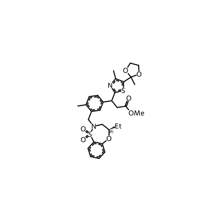 CC[C@@H]1CN(Cc2cc(C(CC(=O)OC)c3nc(C)c(C4(C)OCCO4)s3)ccc2C)S(=O)(=O)c2ccccc2O1